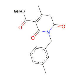 COC(=O)C1=C(C)CC(=O)N(Cc2cccc(C)c2)C1=O